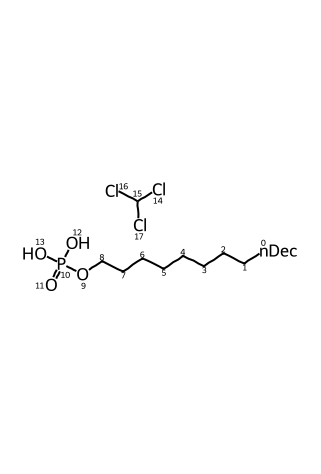 CCCCCCCCCCCCCCCCCCOP(=O)(O)O.ClC(Cl)Cl